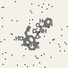 C#CCC1C[C@@H](OC(=O)NC(=O)[C@H]2CN3CC[C@@H]2C3)[C@]23C[C@@H]2CCC2(CCC(=O)C23)[C@@H](C)[C@@H]1O